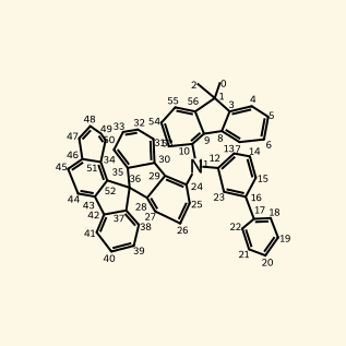 CC1(C)c2ccccc2-c2c(N(c3cccc(-c4ccccc4)c3)c3cccc4c3-c3ccccc3C43c4ccccc4-c4ccc5ccccc5c43)cccc21